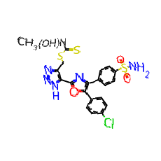 CN(O)C(=S)SCc1nn[nH]c1-c1nc(-c2ccc(S(N)(=O)=O)cc2)c(-c2ccc(Cl)cc2)o1